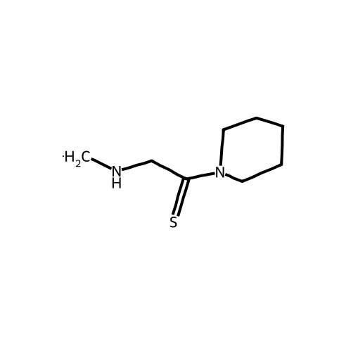 [CH2]NCC(=S)N1CCCCC1